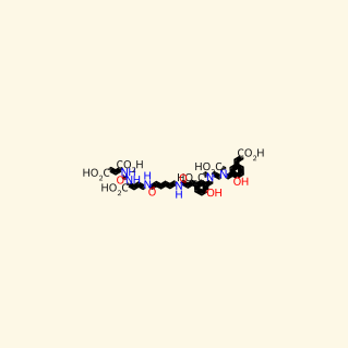 O=C(O)CCc1ccc(O)c(CN(CCN(CC(=O)O)Cc2cc(CCC(=O)NCCCCCC(=O)NCCCC(NC(=O)NC(CCC(=O)O)C(=O)O)C(=O)O)ccc2O)CC(=O)O)c1